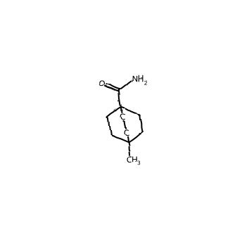 CC12CCC(C(N)=O)(CC1)CC2